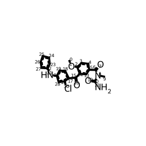 COc1ccc(C(=O)N(C)C(N)=O)cc1C(=O)c1ccc(Nc2ccccc2)cc1Cl